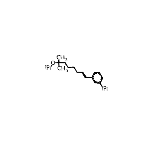 CC(C)OC(C)(C)CCCC/C=C/c1cccc(C(C)C)c1